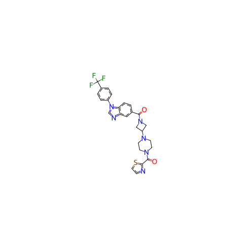 O=C(c1ccc2c(c1)ncn2-c1ccc(C(F)(F)F)cc1)N1CC(N2CCN(C(=O)c3nccs3)CC2)C1